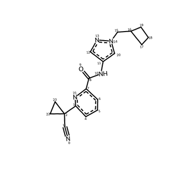 N#CC1(c2cccc(C(=O)Nc3cnn(CC4CCC4)c3)n2)CC1